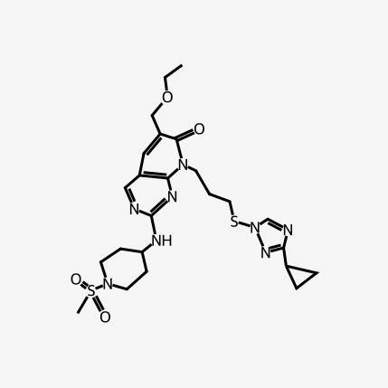 CCOCc1cc2cnc(NC3CCN(S(C)(=O)=O)CC3)nc2n(CCCSn2cnc(C3CC3)n2)c1=O